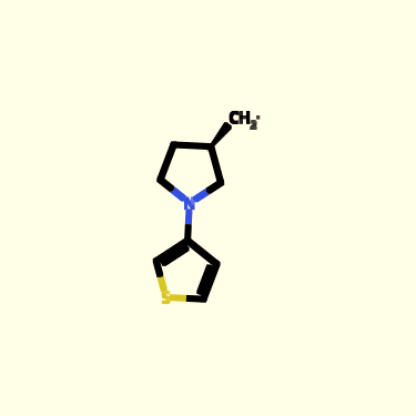 [CH2][C@@H]1CCN(c2ccsc2)C1